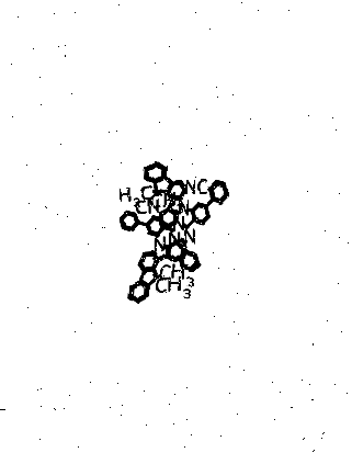 CC1(C)c2ccccc2-c2ccc3c(c21)c1ccccc1n3-c1cc(-c2ccccc2C#N)ccc1-c1nc(-c2ccccc2)nc(-c2ccc(-c3ccccc3C#N)cc2-n2c3ccccc3c3c4c(ccc32)-c2ccccc2C4(C)C)n1